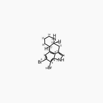 Brc1cc2c3c(c[nH]c3c1Br)C[C@H]1NCCC[C@H]21